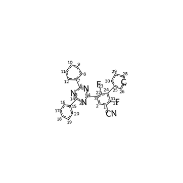 N#Cc1cc(-c2nc(-c3ccccc3)nc(-c3ccccc3)n2)c(F)c(-c2ccccc2)c1F